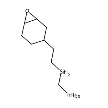 CCCCCCC[SiH2]CCC1CCC2OC2C1